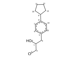 OC(CCl)Cc1ccc(C2CCCC2)cc1